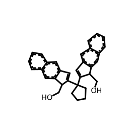 OCC1C(C2(C3=Cc4cc5ccccc5cc4C3CO)CCCC2)=Cc2cc3ccccc3cc21